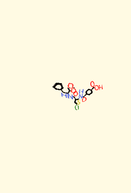 O=C(O)c1ccc(C(=O)Nc2sc(Cl)cc2C(=O)NC(Cc2ccccc2)C2=COCO2)cc1